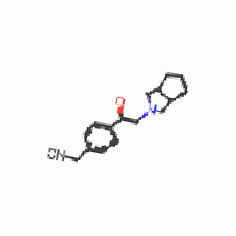 O=NCc1ccc(C(=O)CN2CC3CCCC3C2)cc1